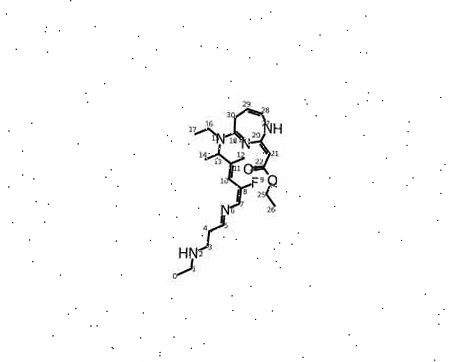 CCNCC/C=N/C=C(F)\C=C(/C)C(C)N(CC)C1=N/C(=C\C(=O)OCC)NC=CC1